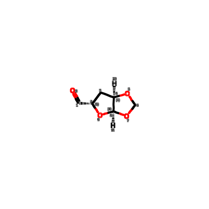 O=C[C@@H]1C[C@H]2OCO[C@H]2O1